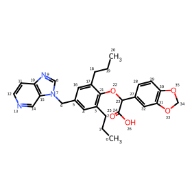 CCCc1cc(Cn2cnc3ccncc32)cc(CCC)c1OC(C(=O)O)c1ccc2c(c1)OCO2